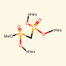 CCCCCCOP(=O)(CP(=O)(OCCCCCC)OCCCCCC)OC